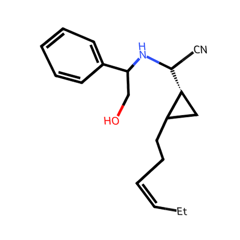 CC/C=C\CCC1C[C@H]1C(C#N)NC(CO)c1ccccc1